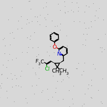 CC1(C)[C@H](Cc2cccc(Oc3ccccc3)n2)[C@@H]1/C=C(\Cl)C(F)(F)F